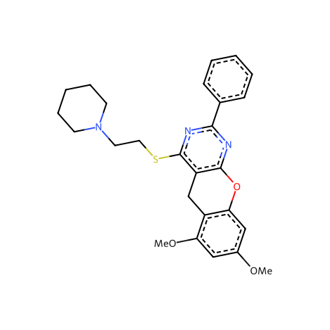 COc1cc(OC)c2c(c1)Oc1nc(-c3ccccc3)nc(SCCN3CCCCC3)c1C2